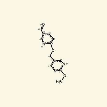 COc1cnc(COc2ccc(C=O)cn2)cn1